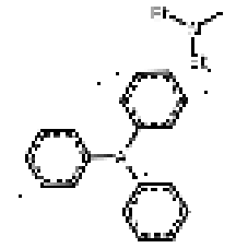 C[CH2][Al]([CH3])[CH2]C.c1cc[c]([Al]([c]2ccccc2)[c]2ccccc2)cc1